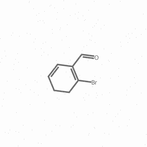 O=CC1=C(Br)CCC=C1